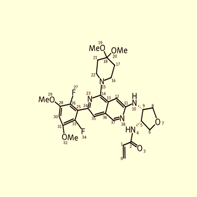 C=CC(=O)N[C@H]1COC[C@H]1Nc1cc2c(N3CCC(OC)(OC)CC3)nc(-c3c(F)c(OC)cc(OC)c3F)cc2cn1